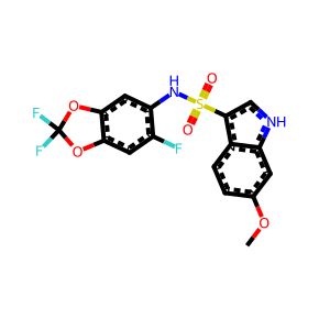 COc1ccc2c(S(=O)(=O)Nc3cc4c(cc3F)OC(F)(F)O4)c[nH]c2c1